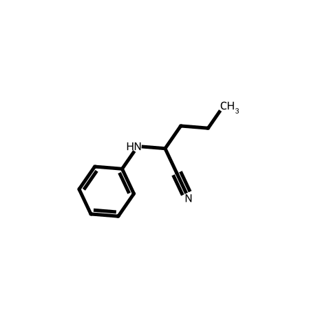 CCCC(C#N)Nc1ccccc1